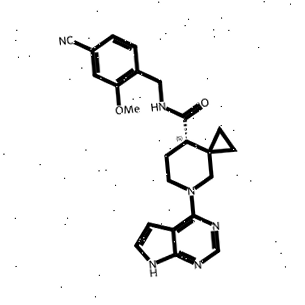 COc1cc(C#N)ccc1CNC(=O)[C@H]1CCN(c2ncnc3[nH]ccc23)CC12CC2